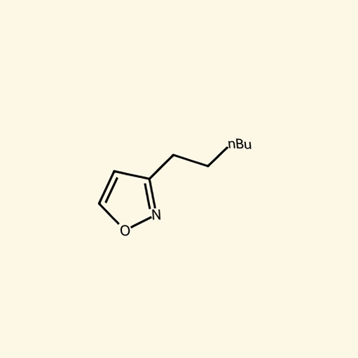 [CH2]CCCCCc1ccon1